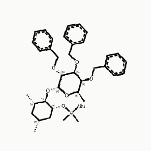 C[C@@H]1C[C@H](C)[C@@H](O[C@H]2O[C@H](C)[C@H](OCc3ccccc3)[C@H](OCc3ccccc3)[C@H]2OCc2ccccc2)[C@H](O[Si](C)(C)C(C)(C)C)C1